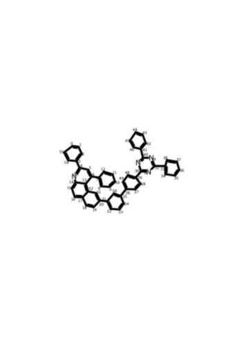 c1ccc(-c2cc(-c3ccccc3)c3c(ccc4ccc(-c5cccc(-c6ccc(-c7nc(-c8ccccc8)nc(-c8ccccc8)n7)cc6)c5)cc43)n2)cc1